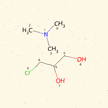 CN(C)C.OCC(O)CCl